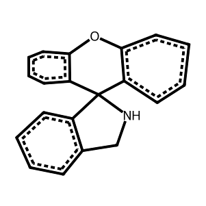 c1ccc2c(c1)CNC21c2ccccc2Oc2ccccc21